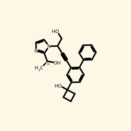 C[C@H](O)c1nccn1C(C#Cc1cc(C2(O)CCC2)ccc1-c1ccccc1)CO